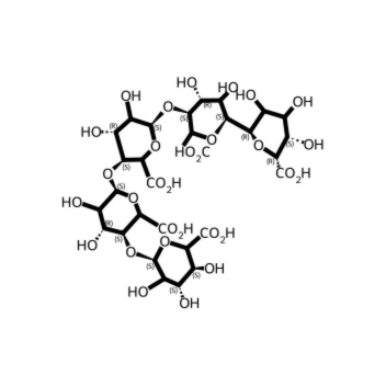 O=C(O)C1O[C@H](O[C@@H]2C(C(=O)O)O[C@H](O[C@@H]3C(C(=O)O)O[C@H](O[C@@H]4C(C(=O)O)O[C@H]([C@@H]5O[C@@H](C(=O)O)[C@@H](O)C(O)C5O)C(O)[C@H]4O)C(O)[C@H]3O)C(O)[C@H]2O)C(O)[C@@H](O)[C@@H]1O